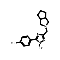 CC(C)n1nc(CN2CC3CCCC3C2)nc1-c1ccc(C(C)(C)C)cc1